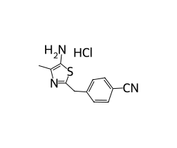 Cc1nc(Cc2ccc(C#N)cc2)sc1N.Cl